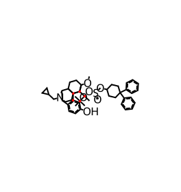 COC12CCC3(CC1C(C)(OS(=O)OC1CCC(c4ccccc4)(c4ccccc4)CC1)C(C)(C)C)C1Cc4ccc(O)c5c4C3(CCN1CC1CC1)C2O5